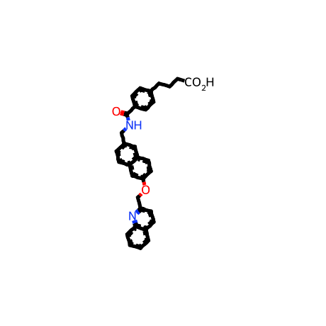 O=C(O)CCCc1ccc(C(=O)NCc2ccc3cc(OCc4ccc5ccccc5n4)ccc3c2)cc1